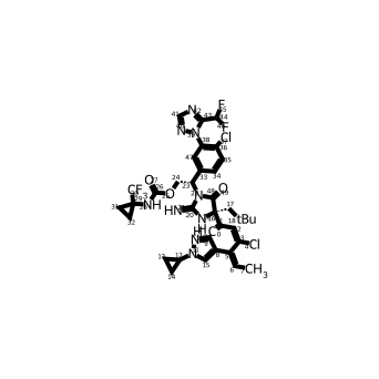 C=C(/C=C(Cl)\C(=C/C)c1cnn(C2CC2)c1)[C@@]1(CC(C)(C)C)NC(=N)N([C@H](COC(=O)NC2(C(F)(F)F)CC2)c2ccc(Cl)c(-n3ncnc3C(F)F)c2)C1=O